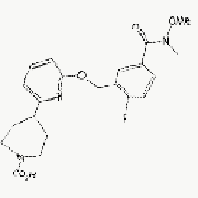 CON(C)C(=O)c1ccc(F)c(COc2cccc(C3CCN(C(=O)O)CC3)n2)c1